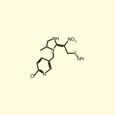 CCCSCC(=C1NCC(C)N1Cc1ccc(Cl)nc1)[N+](=O)[O-]